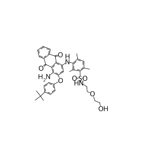 Cc1cc(C)c(S(=O)(=O)NCCOCCO)c(C)c1Nc1cc(Oc2ccc(C(C)(C)C)cc2)c(N)c2c1C(=O)c1ccccc1C2=O